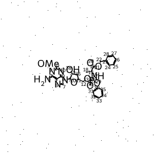 COc1nc(N)c2ncn([C@@H]3O[C@H](COP(=O)(N[C@@H](C)C(=O)OCc4ccccc4)Oc4ccccc4)CC3O)c2n1